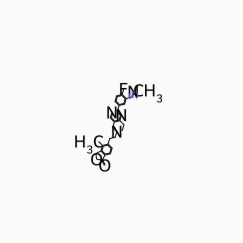 C/N=C/c1cc(-c2ncc3c(n2)CCN(CCc2ccc4c(c2C)COC4=O)C3)ccc1F